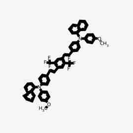 COc1ccc(N(c2ccc(C=Cc3cc(C(F)(F)F)c(C=Cc4ccc(N(c5ccc(OC)cc5)c5cccc6ccccc56)cc4)cc3C(F)(F)F)cc2)c2cccc3ccccc23)cc1